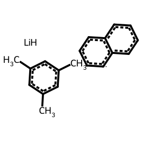 Cc1cc(C)cc(C)c1.[LiH].[c]1cccc2ccccc12